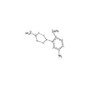 COc1ccc(N)cc1C1CCN(C)CC1